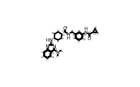 CN(C)c1nc(N[C@H]2CC[C@@H](C(=O)NCc3cccc(NC(=O)C4CC4)c3)CC2)nc2ccccc12